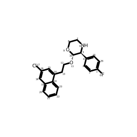 Fc1ccc([C@@H]2NCCO[C@H]2OCCc2cc(Cl)cc3ccccc23)cc1